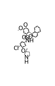 COc1cc(-c2cccc3ccccc23)c(S(=O)(=O)Nc2ccc(Cl)c(O[C@]3(C)CCNC3)c2)cc1OC